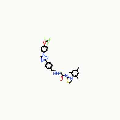 Cc1cc(C)c(N2CCS/C2=N\C(=O)CNCCc2ccc(-c3ncn(-c4ccc(OC(F)(F)F)cc4)n3)cc2)c(C)c1